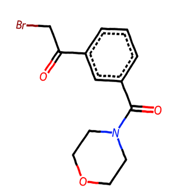 O=C(CBr)c1cccc(C(=O)N2CCOCC2)c1